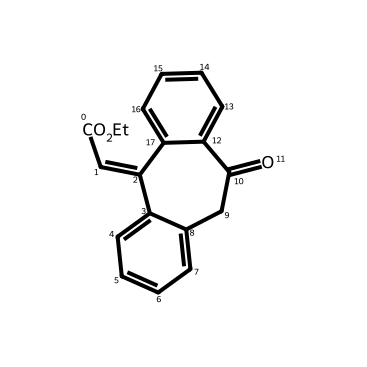 CCOC(=O)C=C1c2ccccc2CC(=O)c2ccccc21